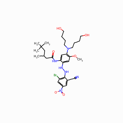 COc1cc(NNc2c(Br)cc([N+](=O)[O-])cc2C#N)c(NC(=O)CC(C)CC(C)(C)C)cc1N(CCCCO)CCCCO